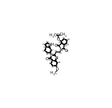 COc1ccc2c(=O)n(-c3ccc4cc[nH]c4c3)c(CCN3C(=O)c4cccc(OC(C)C)c4C3=O)nc2c1